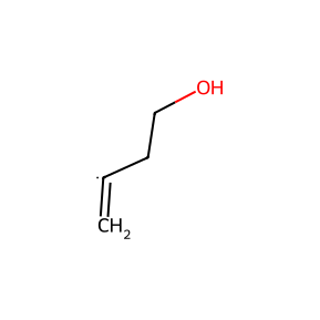 C=[C]CCO